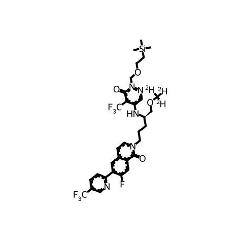 [2H]C([2H])([2H])OC[C@@H](CCCn1ccc2cc(-c3ccc(C(F)(F)F)cn3)c(F)cc2c1=O)Nc1cnn(COCC[Si](C)(C)C)c(=O)c1C(F)(F)F